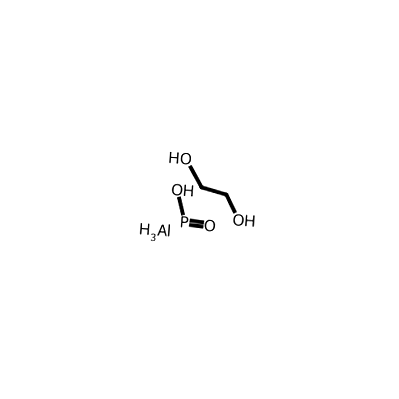 O=PO.OCCO.[AlH3]